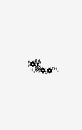 Cc1ccc(Oc2ccc(N(C[C@H](Nc3ccc(F)c(F)c3)C(=O)NO)S(C)(=O)=O)cc2)cc1